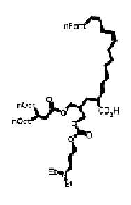 CCCCC/C=C\C/C=C\CCCCCCC(CC(COC(=O)CC(CCCCCCCC)CCCCCCCC)COC(=O)OCCCN(CC)CC)C(=O)O